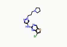 Brc1csc2cnc(Nc3cnn(CCCN4CCCC4)c3)nc12